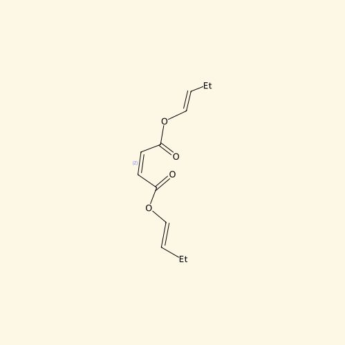 CCC=COC(=O)/C=C\C(=O)OC=CCC